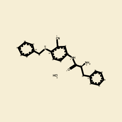 Cl.N#Cc1cc(NC(=O)[C@@H](N)Cc2ccccc2)ccc1SCc1ccccc1